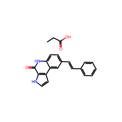 CCC(=O)O.O=c1[nH]c2ccc(C=Cc3ccccc3)cc2c2cc[nH]c12